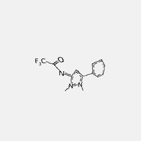 Cn1c(-c2ccccc2)cc(=NC(=O)C(F)(F)F)n1C